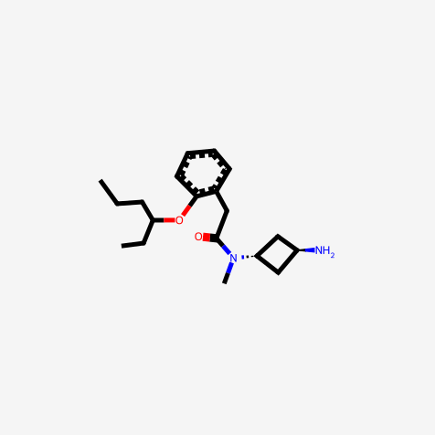 CCCC(CC)Oc1ccccc1CC(=O)N(C)[C@H]1C[C@H](N)C1